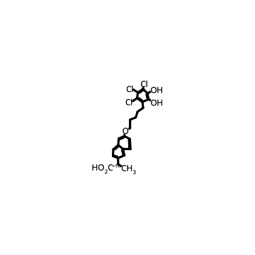 C[C@H](C(=O)O)c1ccc2cc(OCCCCCc3c(O)c(O)c(Cl)c(Cl)c3Cl)ccc2c1